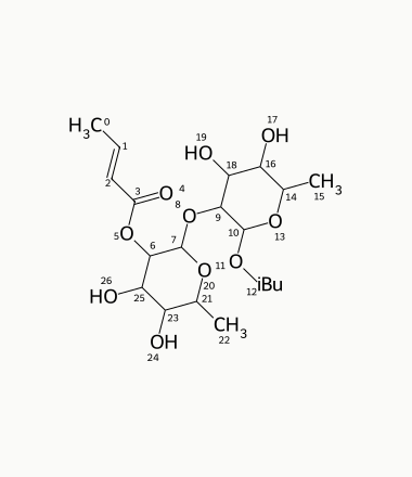 CC=CC(=O)OC1C(OC2C(OC(C)CC)OC(C)C(O)C2O)OC(C)C(O)C1O